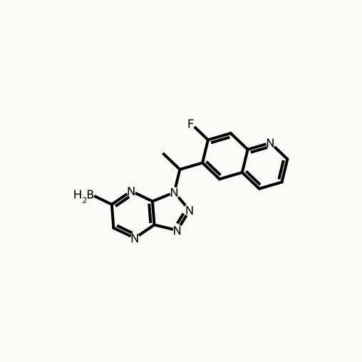 Bc1cnc2nnn(C(C)c3cc4cccnc4cc3F)c2n1